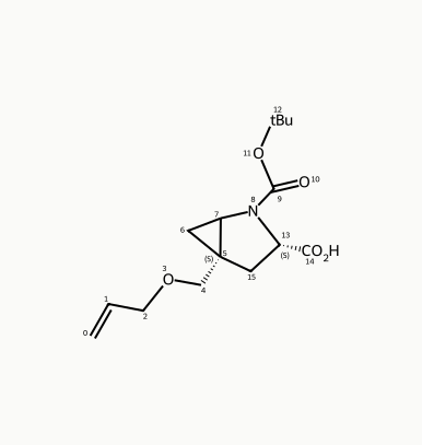 C=CCOC[C@]12CC1N(C(=O)OC(C)(C)C)[C@H](C(=O)O)C2